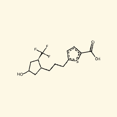 O=C(O)c1ccc(CCCC2CC(O)C[C@H]2C(F)(F)F)s1